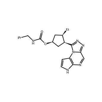 CC[C@@H]1C[C@H](OC(=O)NCC(C)C)C[C@@H]1c1nnc2cnc3[nH]ccc3n12